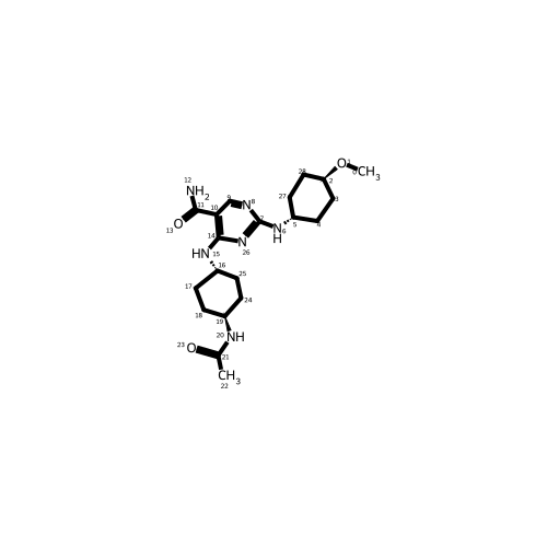 CO[C@H]1CC[C@H](Nc2ncc(C(N)=O)c(N[C@H]3CC[C@H](NC(C)=O)CC3)n2)CC1